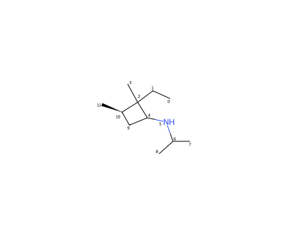 CCC1(C)C(NC(C)C)C[C@H]1C